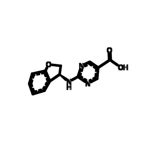 O=C(O)c1cnc(N[C@@H]2COc3ccccc32)nc1